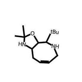 CC1(C)NC2CC=CCNC(C(C)(C)C)C2O1